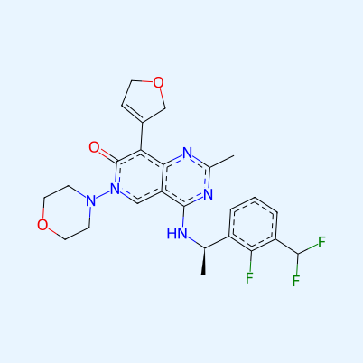 Cc1nc(N[C@H](C)c2cccc(C(F)F)c2F)c2cn(N3CCOCC3)c(=O)c(C3=CCOC3)c2n1